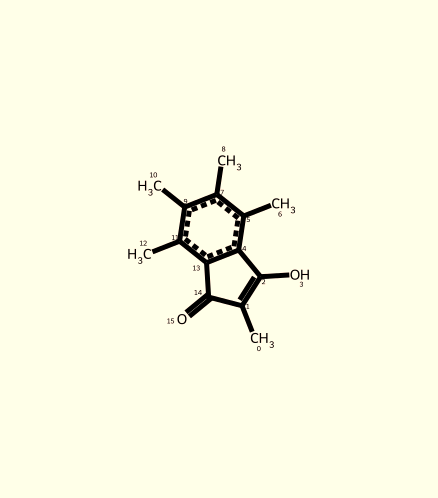 CC1=C(O)c2c(C)c(C)c(C)c(C)c2C1=O